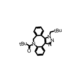 CC(C)(C)Cn1nnc2c1-c1ccccc1CN(C(=O)C(C)(C)C)c1ccccc1-2